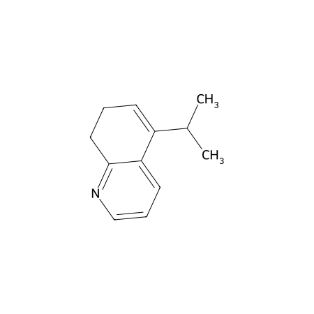 CC(C)C1=CCCc2ncccc21